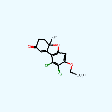 CCCC12CCC(=O)C=C1c1c(cc(OCC(=O)O)c(Cl)c1Cl)O2